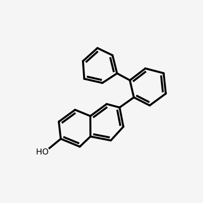 Oc1ccc2cc(-c3ccccc3-c3ccccc3)ccc2c1